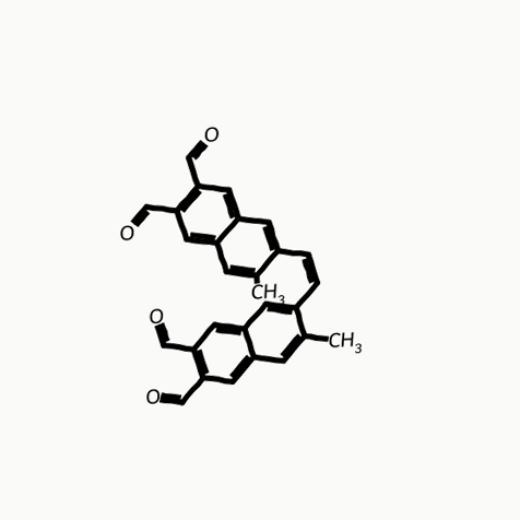 Cc1cc2cc(C=O)c(C=O)cc2cc1/C=C\c1cc2cc(C=O)c(C=O)cc2cc1C